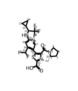 C[C@H]1CCCN1C(=O)c1nc(C(=O)O)sc1-c1cnc(NC(C2CC2)C(F)(F)F)cc1C(F)F